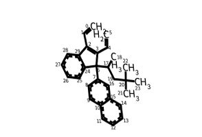 C=CC1=C(C=C)C(c2ccc3ccccc3c2)(C(C)CC(C)(C)C)c2ccccc21